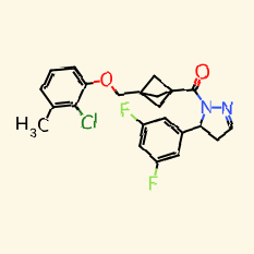 Cc1cccc(OCC23CC(C(=O)N4N=CCC4c4cc(F)cc(F)c4)(C2)C3)c1Cl